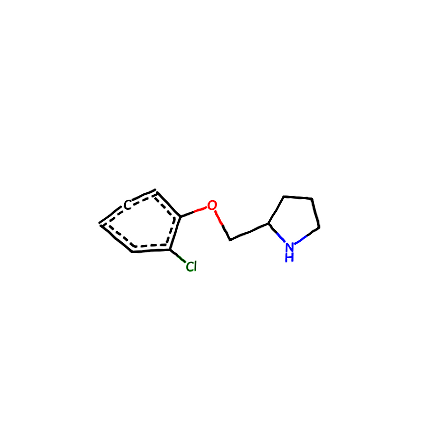 Clc1ccccc1OCC1CCCN1